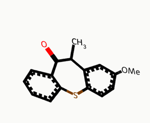 COc1ccc2c(c1)C(C)C(=O)c1ccccc1S2